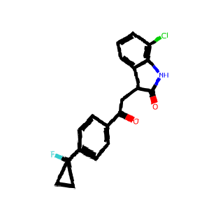 O=C(CC1C(=O)Nc2c(Cl)cccc21)c1ccc(C2(F)CC2)cc1